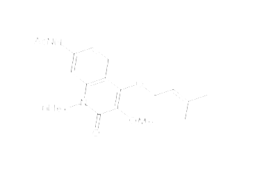 CCCCCCn1c(=O)c(OC)c(OCC=C(C)C)c2ccc(NC(C)=O)cc21